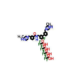 CC1CN(Cc2cccc(C(=O)NCc3ccc(F)c(-c4cccc(CN5CCN[C@@H](C)C5)c4)c3)c2)CCN1.O=C(O)C(F)(F)F.O=C(O)C(F)(F)F.O=C(O)C(F)(F)F.O=C(O)C(F)(F)F